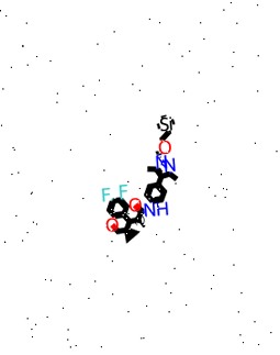 Cc1nn(COCC[Si](C)(C)C)c(C)c1-c1ccc(NC(=O)[C@@H](C)C2c3cc(F)c(F)cc3OCC23CC3)cc1